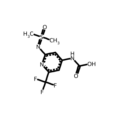 CS(C)(=O)=Nc1cc(NC(=O)O)cc(C(F)(F)F)n1